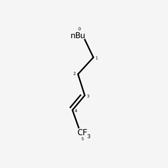 CCCCCC/C=C/C(F)(F)F